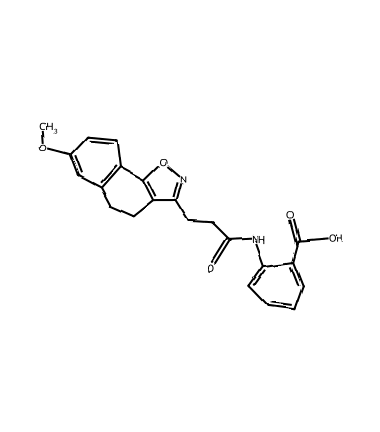 COc1ccc2c(c1)CCc1c(CCC(=O)Nc3ccccc3C(=O)O)noc1-2